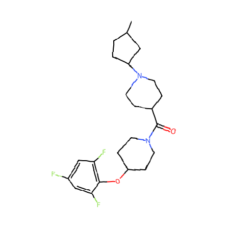 CC1CCC(N2CCC(C(=O)N3CCC(Oc4c(F)cc(F)cc4F)CC3)CC2)C1